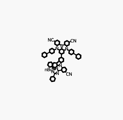 CCCCc1ccc2c3cc(-c4cc5c6c(c4)N(c4ccc(-c7ccccc7)cc4)c4cc(C#N)ccc4B6c4ccc(C#N)cc4N5c4ccc(-c5ccccc5)cc4)ccc3n(-c3ccc(C#N)cc3-c3nc(-c4ccccc4)nc(-c4ccccc4)n3)c2c1